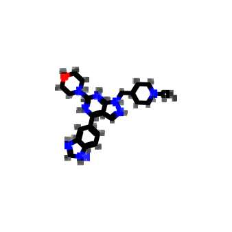 CN1CCC(Cn2ncc3c(-c4ccc5[nH]cnc5c4)nc(N4CCOCC4)nc32)CC1